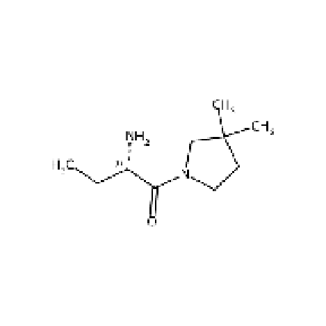 CC[C@H](N)C(=O)N1CCC(C)(C)C1